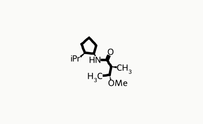 CO[C@H](C)[C@H](C)C(=O)N[C@H]1CCC[C@@H]1C(C)C